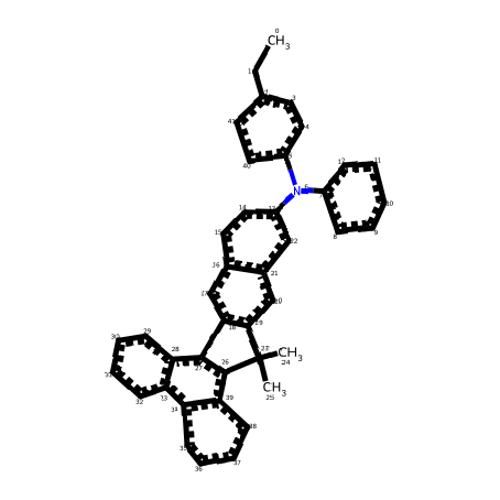 CCc1ccc(N(c2ccccc2)c2ccc3cc4c(cc3c2)C(C)(C)c2c-4c3ccccc3c3ccccc23)cc1